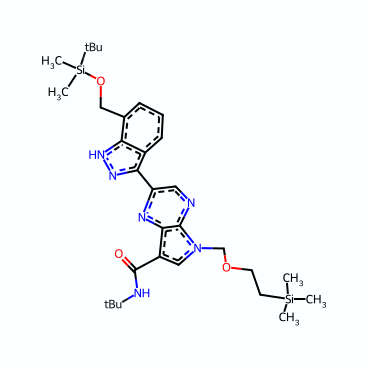 CC(C)(C)NC(=O)c1cn(COCC[Si](C)(C)C)c2ncc(-c3n[nH]c4c(CO[Si](C)(C)C(C)(C)C)cccc34)nc12